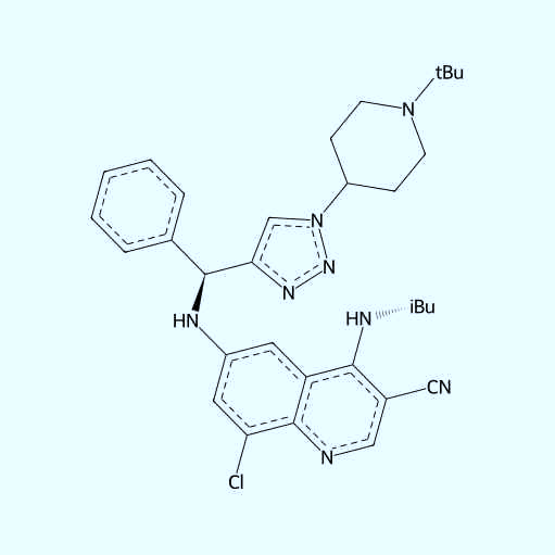 CC[C@@H](C)Nc1c(C#N)cnc2c(Cl)cc(N[C@@H](c3ccccc3)c3cn(C4CCN(C(C)(C)C)CC4)nn3)cc12